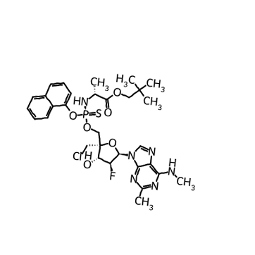 CNc1nc(C)nc2c1ncn2[C@@H]1O[C@](CCl)(CO[P@](=S)(N[C@H](C)C(=O)OCC(C)(C)C)Oc2cccc3ccccc23)[C@@H](O)[C@@H]1F